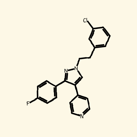 Fc1ccc(-c2nn(CCc3cccc(Cl)c3)cc2-c2ccncc2)cc1